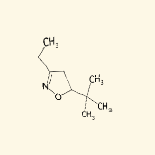 CCC1=NOC(C(C)(C)C)C1